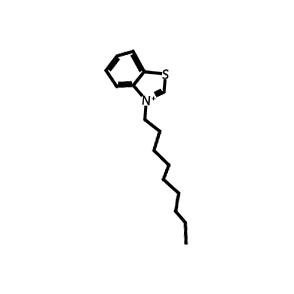 CCCCCCCCC[n+]1csc2ccccc21